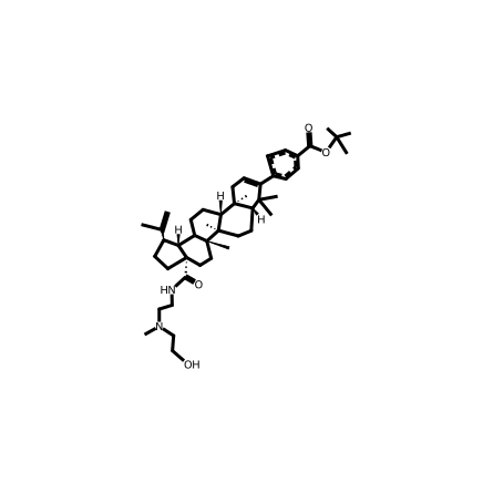 C=C(C)[C@@H]1CC[C@]2(C(=O)NCCN(C)CCO)CC[C@]3(C)C(CC[C@@H]4[C@@]5(C)CC=C(c6ccc(C(=O)OC(C)(C)C)cc6)C(C)(C)[C@@H]5CC[C@]43C)[C@@H]12